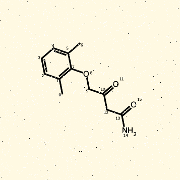 Cc1cccc(C)c1OCC(=O)CC(N)=O